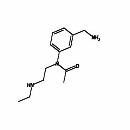 CCNCCN(C(C)=O)c1cccc(CN)c1